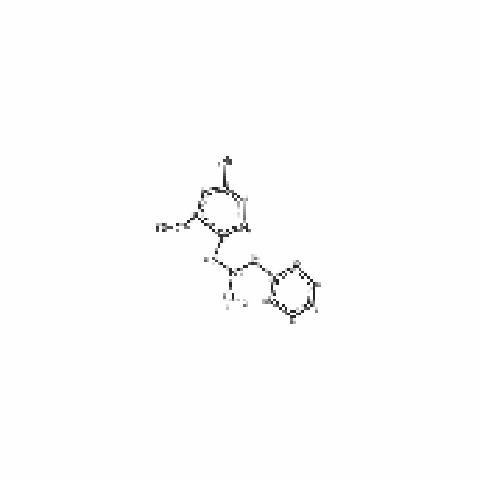 O=Cc1cc(Br)cnc1SN(Cc1ccccc1)C(=O)O